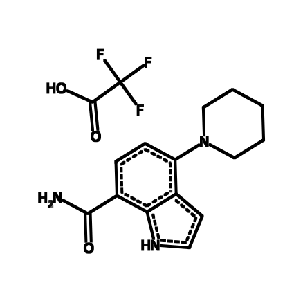 NC(=O)c1ccc(N2CCCCC2)c2cc[nH]c12.O=C(O)C(F)(F)F